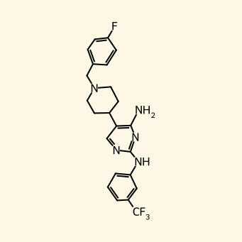 Nc1nc(Nc2cccc(C(F)(F)F)c2)ncc1C1CCN(Cc2ccc(F)cc2)CC1